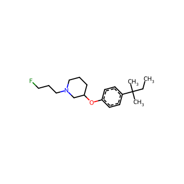 CCC(C)(C)c1ccc(OC2CCCN(CCCF)C2)cc1